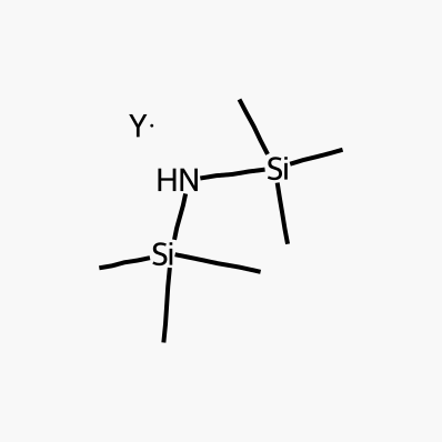 C[Si](C)(C)N[Si](C)(C)C.[Y]